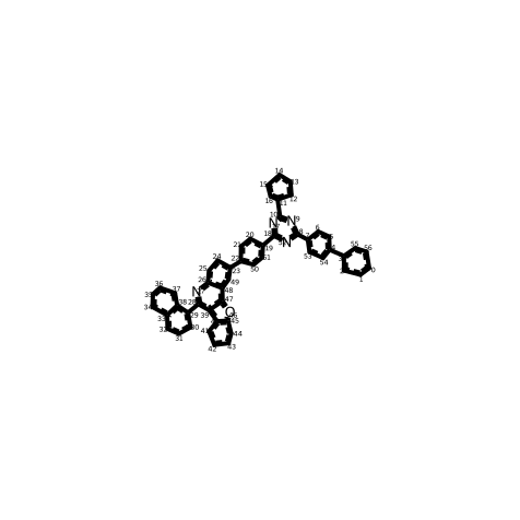 c1ccc(-c2ccc(-c3nc(-c4ccccc4)nc(-c4ccc(-c5ccc6nc(-c7cccc8ccccc78)c7c8ccccc8oc7c6c5)cc4)n3)cc2)cc1